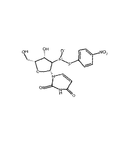 O=c1ccn([C@@H]2O[C@H](CO)[C@H](O)C2[S+]([O-])Sc2ccc([N+](=O)[O-])cc2)c(=O)[nH]1